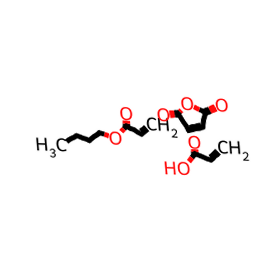 C=CC(=O)O.C=CC(=O)OCCCC.O=C1C=CC(=O)O1